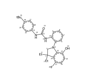 CCC1(CC)CN(c2ccccc2NC(=O)Nc2ccc(C(C)(C)C)cc2)c2c(O)ccc(F)c21